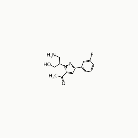 CC(=O)c1cc(-c2cccc(F)c2)nn1C(CN)CO